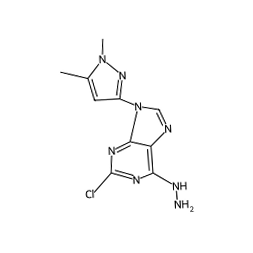 Cc1cc(-n2cnc3c(NN)nc(Cl)nc32)nn1C